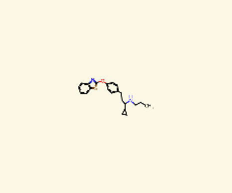 CCCNC(CCc1ccc(Oc2nc3ccccc3s2)cc1)C1CC1